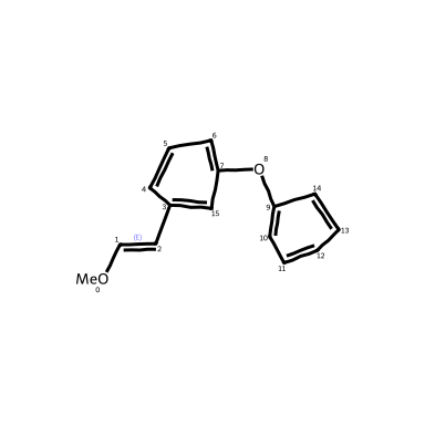 CO/C=C/c1cccc(Oc2ccccc2)c1